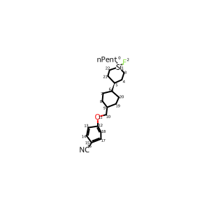 CCCCC[Si@]1(F)CC[C@@H](C2CCC(COc3ccc(C#N)cc3)CC2)CC1